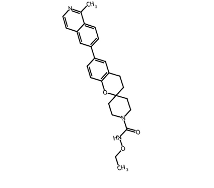 CCONC(=O)N1CCC2(CCc3cc(-c4ccc5c(C)nccc5c4)ccc3O2)CC1